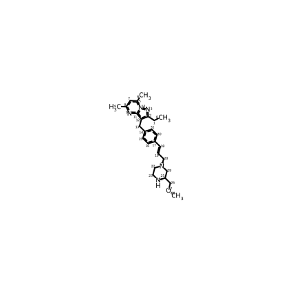 CCc1nn2c(C)cc(C)nc2c1Cc1ccc(C=CCN2CCNC(COC)C2)cc1